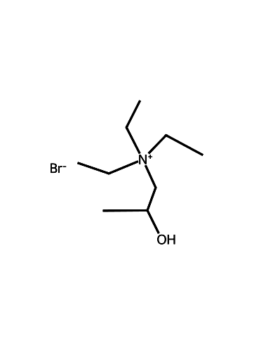 CC[N+](CC)(CC)CC(C)O.[Br-]